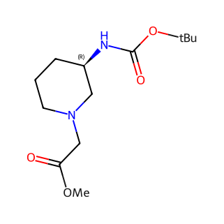 COC(=O)CN1CCC[C@@H](NC(=O)OC(C)(C)C)C1